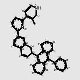 CC1=C(c2cccc(-c3ccc4c(c3)CC(c3c5ccccc5c(-c5ccccc5)c5ccccc35)C=C4)n2)C=CNC1